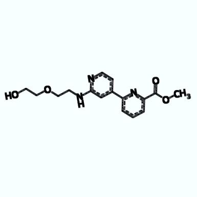 COC(=O)c1cccc(-c2ccnc(NCCOCCO)c2)n1